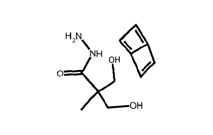 CC(CO)(CO)C(=O)NN.c1cc2ccc1-2